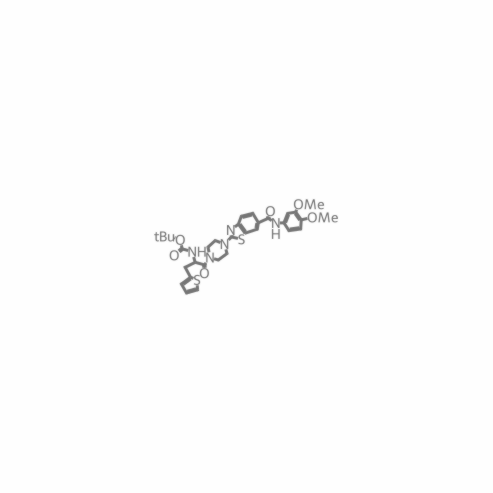 COc1ccc(NC(=O)c2ccc3nc(N4CCN(C(=O)C(Cc5cccs5)NC(=O)OC(C)(C)C)CC4)sc3c2)cc1OC